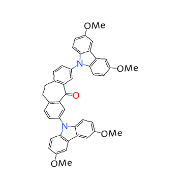 COc1ccc2c(c1)c1cc(OC)ccc1n2-c1ccc2c(c1)C(=O)c1cc(-n3c4ccc(OC)cc4c4cc(OC)ccc43)ccc1CC2